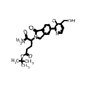 CC(C)(C)OC(=O)CCC(C(N)=O)N1Cc2cc(-c3nccc(CO)c3Cl)ccc2C1=O